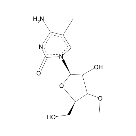 COC1C(O)[C@H](n2cc(C)c(N)nc2=O)O[C@@H]1CO